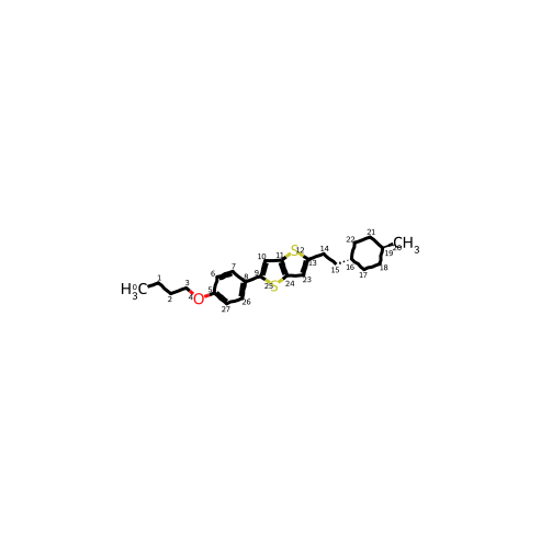 CCCCOc1ccc(-c2cc3sc(CC[C@H]4CC[C@H](C)CC4)cc3s2)cc1